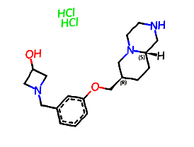 Cl.Cl.OC1CN(Cc2cccc(OC[C@@H]3CC[C@H]4CNCCN4C3)c2)C1